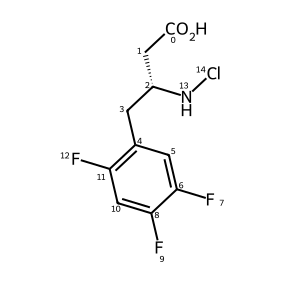 O=C(O)C[C@@H](Cc1cc(F)c(F)cc1F)NCl